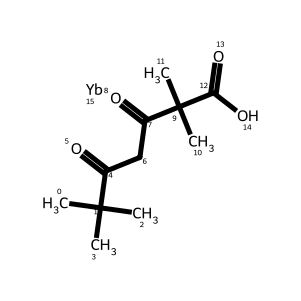 CC(C)(C)C(=O)CC(=O)C(C)(C)C(=O)O.[Yb]